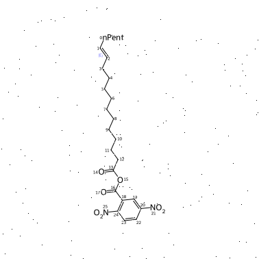 CCCCC/C=C/CCCCCCCCCCC(=O)OC(=O)c1cc([N+](=O)[O-])ccc1[N+](=O)[O-]